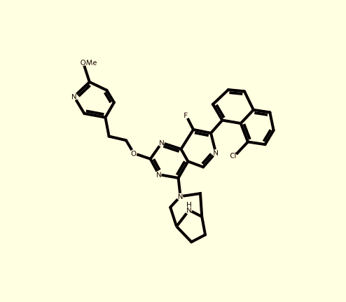 COc1ccc(CCOc2nc(N3CC4CCC(C3)N4)c3cnc(-c4cccc5cccc(Cl)c45)c(F)c3n2)cn1